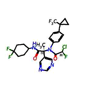 C[C@@](C(=O)NC1CCC(F)(F)CC1)(c1cncnc1)N(C(=O)[C@H](F)Cl)c1ccc(C2(C(F)(F)F)CC2)cc1